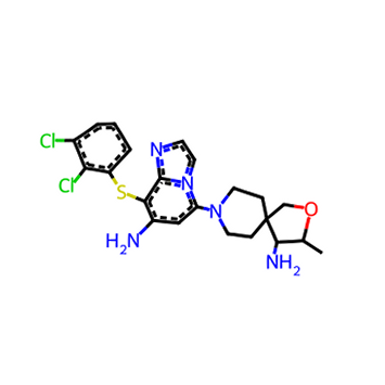 CC1OCC2(CCN(c3cc(N)c(Sc4cccc(Cl)c4Cl)c4nccn34)CC2)C1N